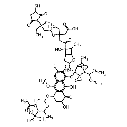 CCC(CC(=O)O)(CC(=O)C1(O)C(C)C2OC(O[C@]3(Oc4c(C)c(C)cc5c(OC)c6c(c(O)c45)C(=O)C(O)C[C@@H]6OC(C)OC(C)C(OC(C)=O)C(C)(C)O)C4OC(C(OC)OC)(OC4C)[C@]34CO4)CC21)OCCC(C)(CC)N1C(=O)CC(S)C1=O